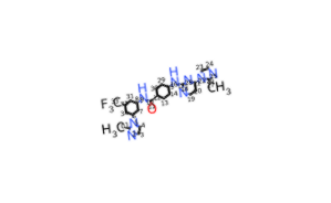 Cc1nccn1-c1cc(NC(=O)c2ccc(Nc3nccc(-n4ccnc4C)n3)cc2)cc(C(F)(F)F)c1